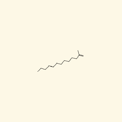 C=C(C)CCCCCCCCCCC